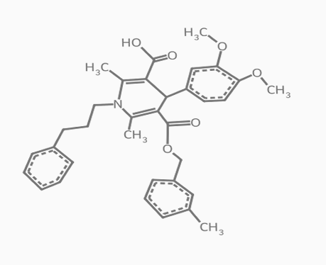 COc1ccc(C2C(C(=O)O)=C(C)N(CCCc3ccccc3)C(C)=C2C(=O)OCc2cccc(C)c2)cc1OC